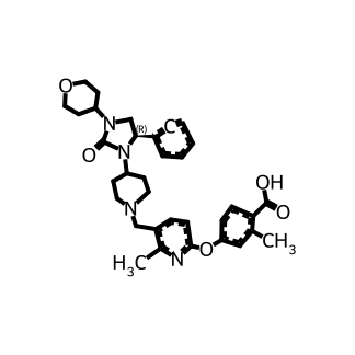 Cc1cc(Oc2ccc(CN3CCC(N4C(=O)N(C5CCOCC5)C[C@H]4c4ccccc4)CC3)c(C)n2)ccc1C(=O)O